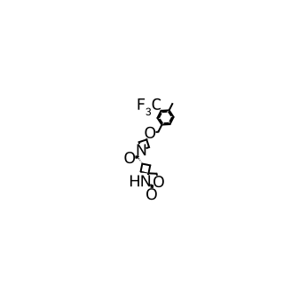 Cc1ccc(COC2CN(C(=O)[C@H]3C[C@]4(COC(=O)N4)C3)C2)cc1C(F)(F)F